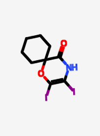 O=C1NC(I)=C(I)OC12CCCCC2